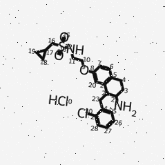 Cl.NC1CCc2ccc(OCCNS(=O)(=O)CC3CC3)cc2C1Cc1ccccc1Cl